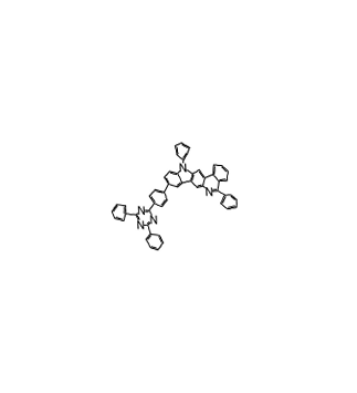 c1ccc(-c2nc(-c3ccccc3)nc(-c3ccc(-c4ccc5c(c4)c4cc6nc(-c7ccccc7)c7ccccc7c6cc4n5-c4ccccc4)cc3)n2)cc1